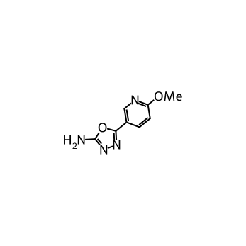 COc1ccc(-c2nnc(N)o2)cn1